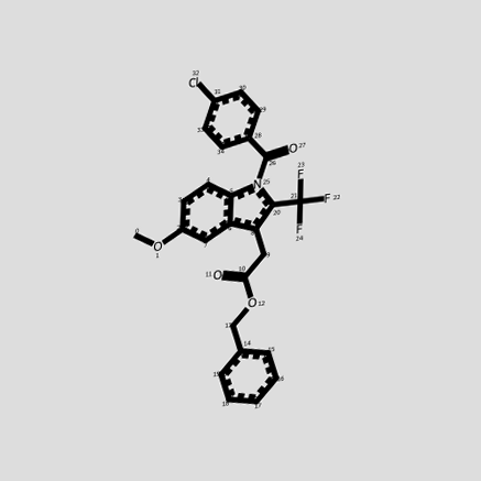 COc1ccc2c(c1)c(CC(=O)OCc1ccccc1)c(C(F)(F)F)n2C(=O)c1ccc(Cl)cc1